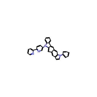 c1ccc(-n2ccc3cc4cc5c(cc4cc32)c2ccccc2n5-c2ccc(-c3ccccn3)nc2)cc1